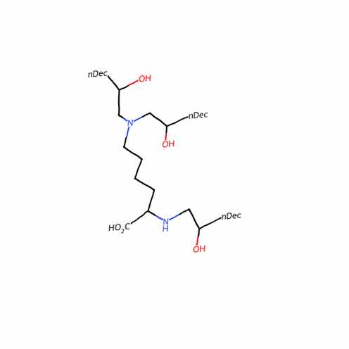 CCCCCCCCCCC(O)CNC(CCCCN(CC(O)CCCCCCCCCC)CC(O)CCCCCCCCCC)C(=O)O